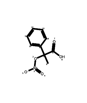 CC(O[N+](=O)[O-])(C(=O)O)c1ccccc1